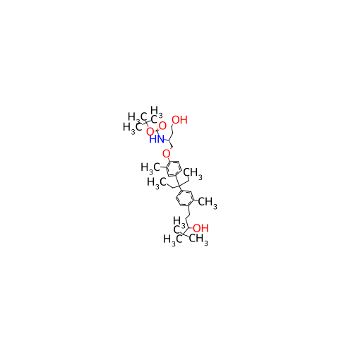 CCC(CC)(c1ccc(CCC(O)C(C)(C)C)c(C)c1)c1ccc(OC[C@H](CCO)NC(=O)OC(C)(C)C)c(C)c1